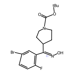 CC(C)(C)OC(=O)N1CCC(/C(=N\O)c2cc(Br)ccc2F)CC1